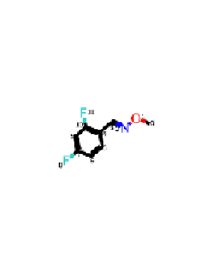 CON=Cc1ccc(F)cc1F